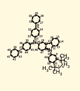 CC1(C)CCC(C)(C)c2cc(-n3c4ccccc4c4cc(N(c5ccc(-c6ccccc6)cc5)c5ccc(-c6ccccc6)cc5)ccc43)ccc21